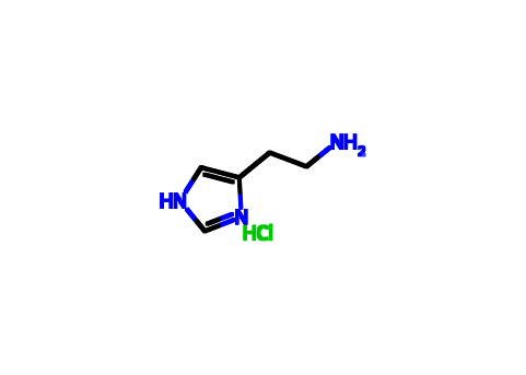 Cl.NCCc1c[nH]cn1